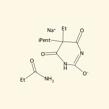 CCC(N)=O.CCCC(C)C1(CC)C(=O)N=C([O-])NC1=O.[Na+]